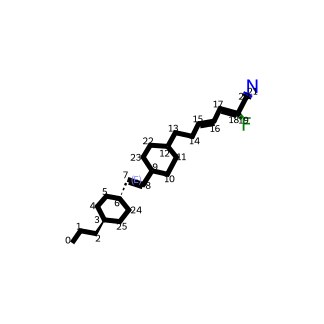 CCC[C@H]1CC[C@H](/C=C/C2CCC(CCC=CC=C(F)C#N)CC2)CC1